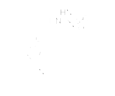 O=S1(=O)CNC(NCCCOc2cccc(CN3CCCCC3)c2)=N1